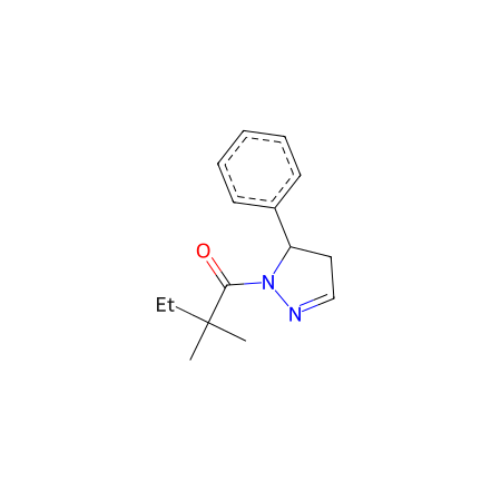 CCC(C)(C)C(=O)N1N=CCC1c1ccccc1